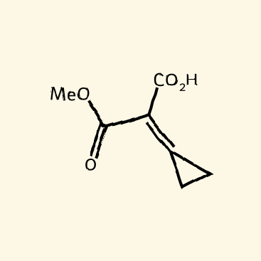 COC(=O)C(C(=O)O)=C1CC1